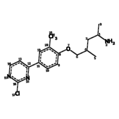 CC(N)CC(C)COc1ccc(-c2ccnc(Cl)n2)cc1C(F)(F)F